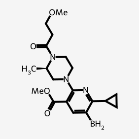 Bc1cc(C(=O)OC)c(N2CCN(C(=O)CCOC)[C@H](C)C2)nc1C1CC1